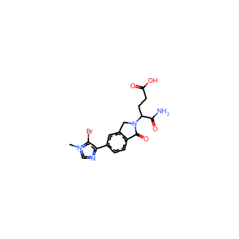 Cn1cnc(-c2ccc3c(c2)CN(C(CCC(=O)O)C(N)=O)C3=O)c1Br